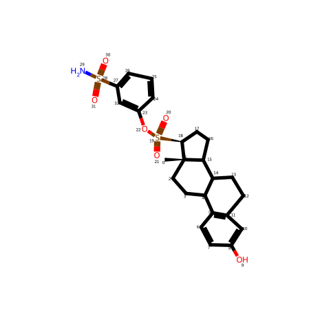 C[C@]12CCC3c4ccc(O)cc4CCC3C1CC[C@@H]2S(=O)(=O)Oc1cccc(S(N)(=O)=O)c1